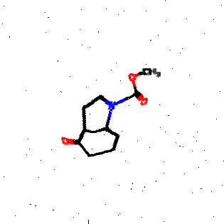 COC(=O)N1CCC2C(=O)CCCC21